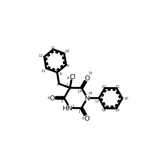 O=C1NC(=O)C(Cl)(Cc2ccccc2)C(=O)N1c1ccccc1